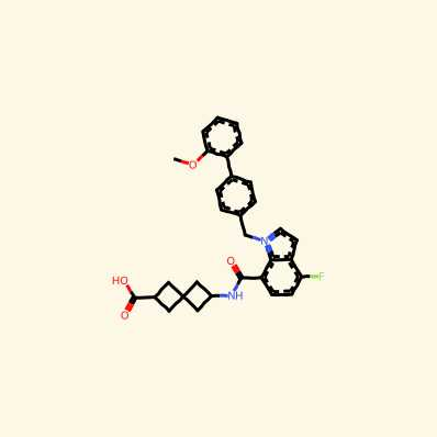 COc1ccccc1-c1ccc(Cn2ccc3c(F)ccc(C(=O)NC4CC5(C4)CC(C(=O)O)C5)c32)cc1